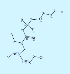 C/C=C(\C=C/CCl)CC(CC)C(=N)CC(F)(F)COCOCC